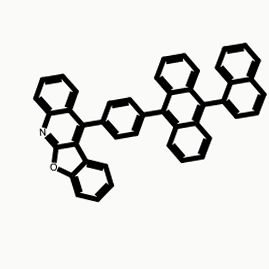 c1ccc2c(-c3c4ccccc4c(-c4ccc(-c5c6ccccc6nc6oc7ccccc7c56)cc4)c4ccccc34)cccc2c1